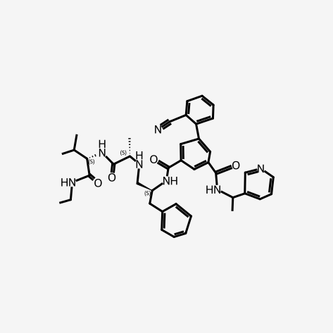 CCNC(=O)[C@@H](NC(=O)[C@H](C)NC[C@H](Cc1ccccc1)NC(=O)c1cc(C(=O)NC(C)c2cccnc2)cc(-c2ccccc2C#N)c1)C(C)C